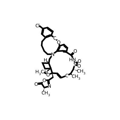 CO[C@@]1(CC2=N[C@H](C)C(=O)O2)/C=C/C[C@H](C)[C@@H](C)S(=O)(=O)NC(=O)c2ccc3c(c2)N(CCCCc2cc(Cl)ccc2CO3)C[C@@H]2CC[C@H]21